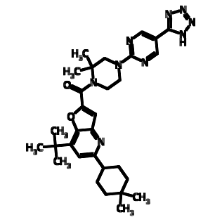 CC1(C)CCC(c2cc(C(C)(C)C)c3oc(C(=O)N4CCN(c5ncc(-c6nnn[nH]6)cn5)CC4(C)C)cc3n2)CC1